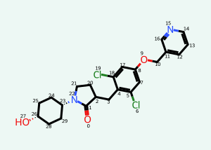 O=C1C(Cc2c(Cl)cc(OCc3cccnc3)cc2Cl)CCN1[C@H]1CC[C@@H](O)CC1